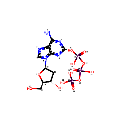 Nc1ncnc2c1ncn2[C@H]1C[C@H](O)[C@@H](CO)O1.O=P(O)(O)OP(=O)(O)OP(=O)(O)O